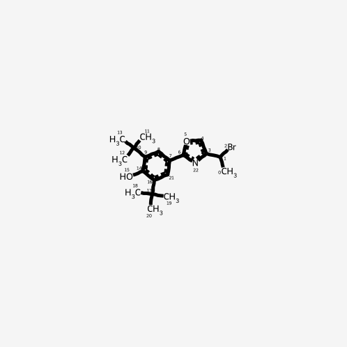 CC(Br)c1coc(-c2cc(C(C)(C)C)c(O)c(C(C)(C)C)c2)n1